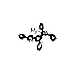 CC1CC=CC=C1c1cc(C2=CC(c3ccc(-c4ccccc4)cn3)=CC(C3CCCC=N3)C2)cc(-c2ccccc2)n1